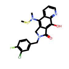 CSN(C)c1c2c(c(O)c3ncccc13)C(=O)N(Cc1ccc(F)c(Cl)c1)C2